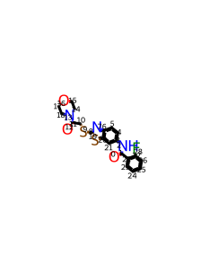 O=C(Nc1ccc2nc(SCC(=O)N3CCOCC3)sc2c1)c1ccccc1F